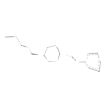 CCCCC[C@H]1CC[C@H](COc2cc[c]cc2)CC1